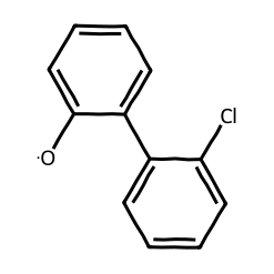 [O]c1ccccc1-c1ccccc1Cl